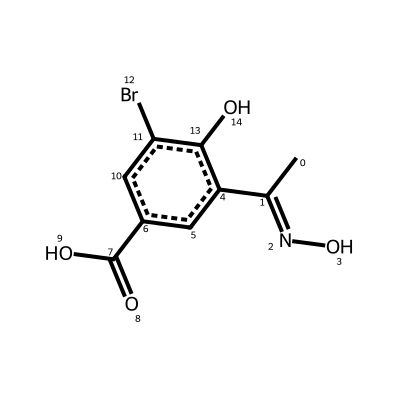 C/C(=N\O)c1cc(C(=O)O)cc(Br)c1O